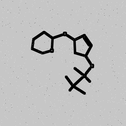 CC(C)(C)[Si](C)(C)OC1C=CC(OC2CCCCO2)C1